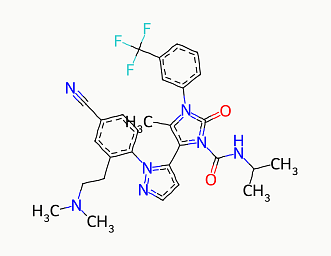 Cc1c(-c2ccnn2-c2ccc(C#N)cc2CCN(C)C)n(C(=O)NC(C)C)c(=O)n1-c1cccc(C(F)(F)F)c1